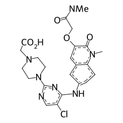 CNC(=O)COc1cc2cc(Nc3nc(N4CCN(CC(=O)O)CC4)ncc3Cl)ccc2n(C)c1=O